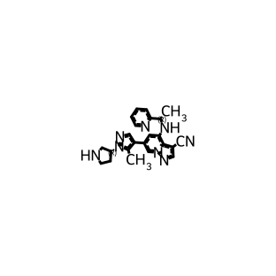 Cc1c(-c2cc(N[C@H](C)c3ccccn3)c3c(C#N)cnn3c2)cnn1[C@@H]1CCNC1